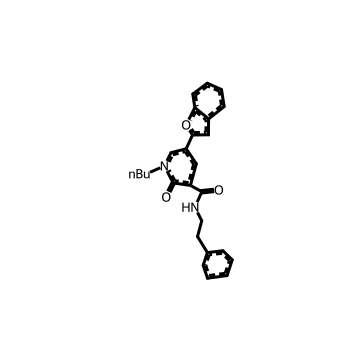 CCCCn1cc(-c2cc3ccccc3o2)cc(C(=O)NCCc2ccccc2)c1=O